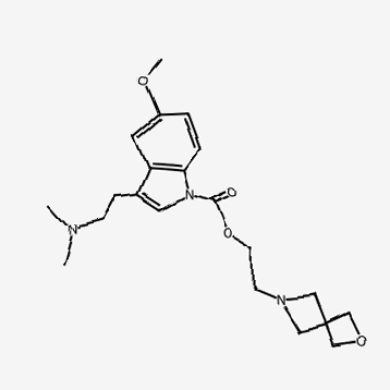 COc1ccc2c(c1)c(CCN(C)C)cn2C(=O)OCCN1CC2(COC2)C1